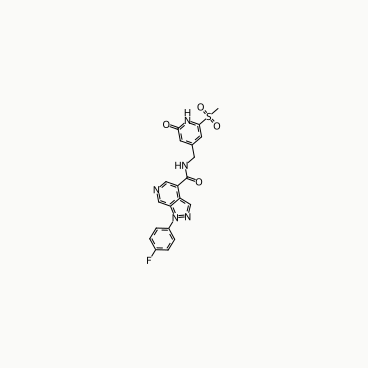 CS(=O)(=O)c1cc(CNC(=O)c2cncc3c2cnn3-c2ccc(F)cc2)cc(=O)[nH]1